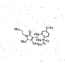 CCOc1ccc2c(c1)NC(C1=C(O)C(C(C)(C)C)N(CCC(C)(C)C)C1=O)NP2(=O)OCC